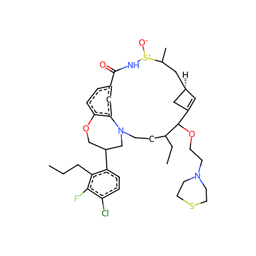 CCCc1c(C2COc3ccc4cc3N(CCC(CC)C(OCCN3CCSCC3)C3=C[C@@H](C3)CC(C)[S+]([O-])NC4=O)C2)ccc(Cl)c1F